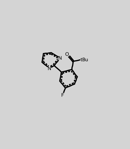 CC(C)(C)C(=O)c1ccc(F)cc1-c1ncccn1